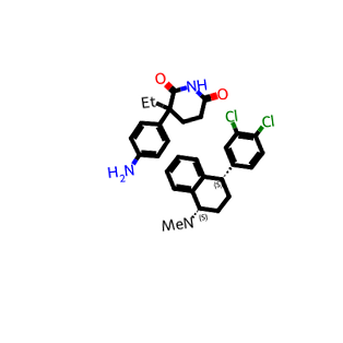 CCC1(c2ccc(N)cc2)CCC(=O)NC1=O.CN[C@H]1CC[C@@H](c2ccc(Cl)c(Cl)c2)c2ccccc21